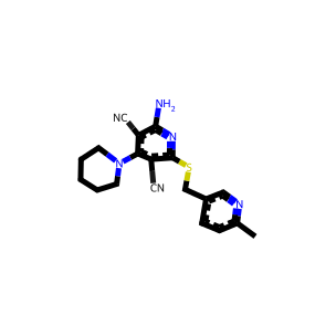 Cc1ccc(CSc2nc(N)c(C#N)c(N3CCCCC3)c2C#N)cn1